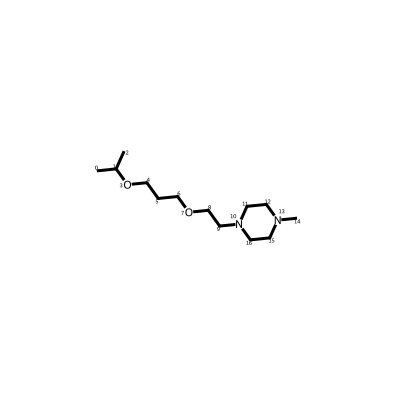 CC(C)OCCCOCCN1CCN(C)CC1